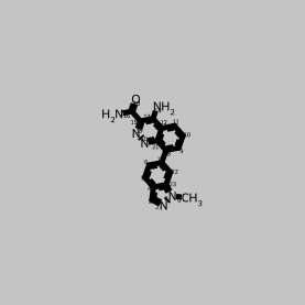 Cn1ncc2ccc(-c3cccc4c(N)c(C(N)=O)nnc34)cc21